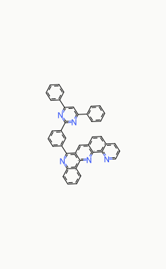 c1ccc(-c2cc(-c3ccccc3)nc(-c3cccc(-c4nc5ccccc5c5nc6c(ccc7cccnc76)cc45)c3)n2)cc1